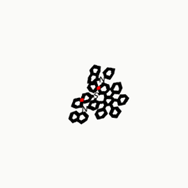 c1ccc(-c2c(-c3ccccc3)c(-c3ccccc3)c3c(c2-c2ccccc2)-c2ccc(N(c4ccccc4)c4cccc5ccccc45)cc2S(c2ccccc2)(c2ccccc2)c2cc(N(c4ccccc4)c4cccc5ccccc45)ccc2-3)cc1